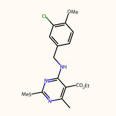 CCOC(=O)c1c(C)nc(SC)nc1NCc1ccc(OC)c(Cl)c1